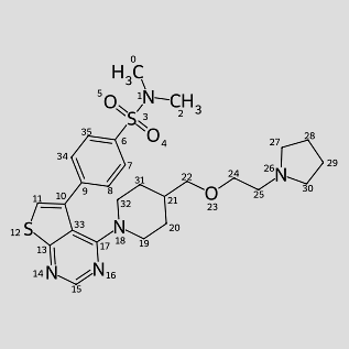 CN(C)S(=O)(=O)c1ccc(-c2csc3ncnc(N4CCC(COCCN5CCCC5)CC4)c23)cc1